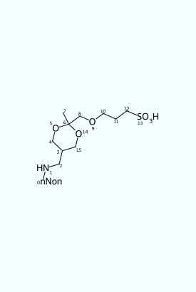 CCCCCCCCCNCC1COC(C)(COCCCS(=O)(=O)O)OC1